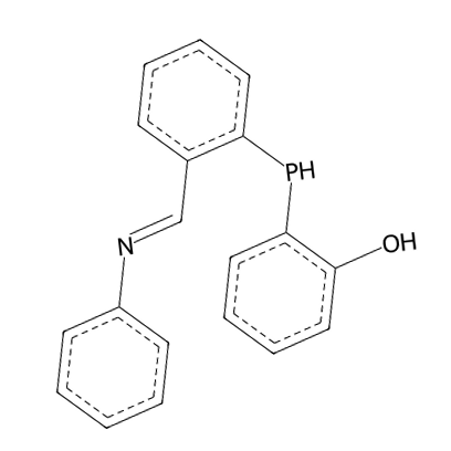 Oc1ccccc1Pc1ccccc1/C=N/c1ccccc1